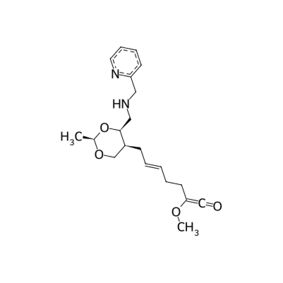 COC(=C=O)CCC=CC[C@H]1CO[C@@H](C)O[C@H]1CNCc1ccccn1